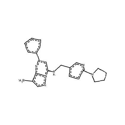 Bc1cnn2c(NCc3ccc(N4CCCC4)nc3)cc(-c3ccccc3)nc12